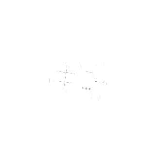 CC(C)(O)C(Cl)(Cl)Cl.CC(C)C(N)C(=O)O